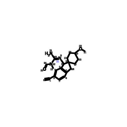 C#Cc1ccc2c(c1)C(/N=C(/N)N(C)C=O)C1(CCC(OC)CC1)C2